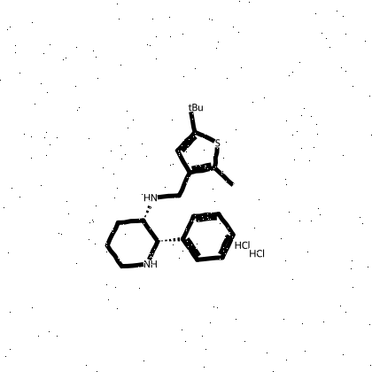 Cc1sc(C(C)(C)C)cc1CN[C@H]1CCCN[C@H]1c1ccccc1.Cl.Cl